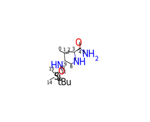 CC1=C[C@@H](C(N)=O)NC[C@@H]1NO[Si](C)(C)C(C)(C)C